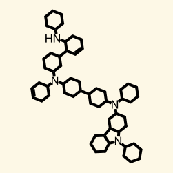 C1=CC(C2CCCC(N(C3CC=CCC3)C3CCC(C4CCC(N(C5CCCCC5)C5CCC6C(C5)C5CCCCC5N6C5CCCCC5)CC4)CC3)C2)C(NC2CCCCC2)CC1